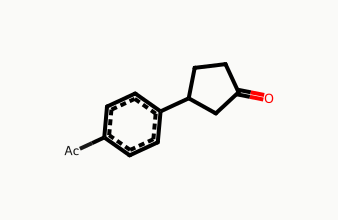 CC(=O)c1ccc(C2CCC(=O)C2)cc1